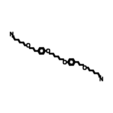 N#CCCCCCOCCCc1ccc(OCCCCCCOc2ccc(CCCOCCCCCC#N)cc2)cc1